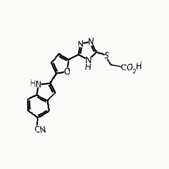 N#Cc1ccc2[nH]c(-c3ccc(-c4nnc(SCC(=O)O)[nH]4)o3)cc2c1